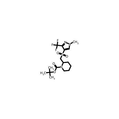 Cn1cc(S(=O)(=O)CC2CCCCN2C(=O)OC(C)(C)C)c(C(F)(F)F)n1